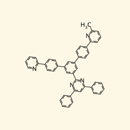 Cc1cccc(-c2ccc(-c3cc(-c4ccc(-c5ccccn5)cc4)cc(-c4nc(-c5ccccc5)cc(-c5ccccc5)n4)c3)cc2)n1